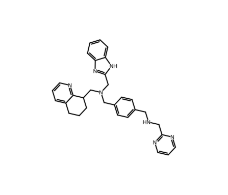 c1cnc(CNCc2ccc(CN(Cc3nc4ccccc4[nH]3)CC3CCCc4cccnc43)cc2)nc1